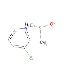 C[S+](C)[O-].Clc1cccnc1